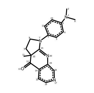 CN(C)c1ccc(N2CCC3(C)C(=O)c4ccncc4N=C23)cc1